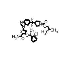 CC(C)COC(=O)N1CCC(C(F)(F)c2ccc3ncn(-c4cc(O[C@H](C)c5ccccc5Cl)c(C(N)=O)s4)c3c2)CC1